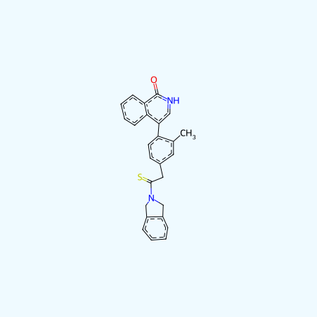 Cc1cc(CC(=S)N2Cc3ccccc3C2)ccc1-c1c[nH]c(=O)c2ccccc12